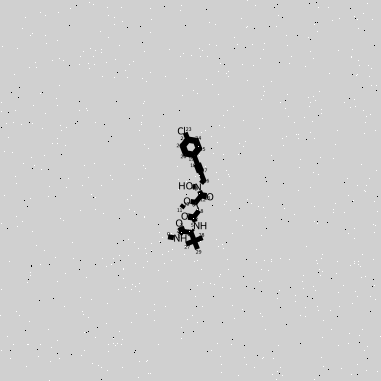 CNC(=O)[C@@H](NC(=O)C[C@H](OC)C(=O)N(O)CC#Cc1ccc(Cl)cc1)C(C)(C)C